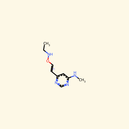 CCNO/C=C/c1cc(NC)ncn1